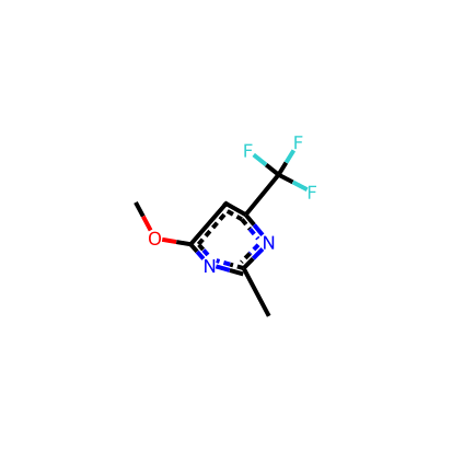 COc1cc(C(F)(F)F)nc(C)n1